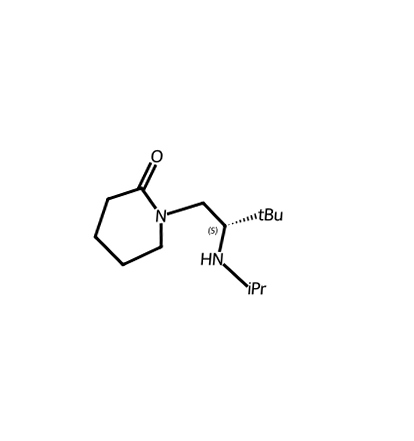 CC(C)N[C@H](CN1CCCCC1=O)C(C)(C)C